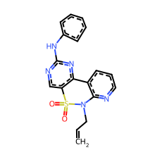 C=CCN1c2ncccc2-c2nc(Nc3ccccc3)ncc2S1(=O)=O